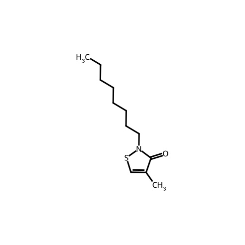 CCCCCCCCn1scc(C)c1=O